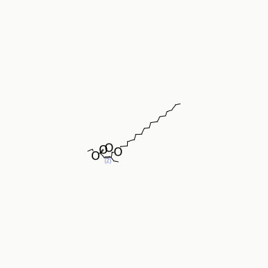 CCCCCCCCCCCCCCCCOC(=O)/C(=C\C(=O)OCC)CC